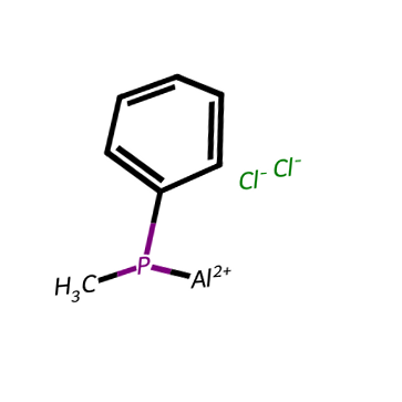 C[P]([Al+2])c1ccccc1.[Cl-].[Cl-]